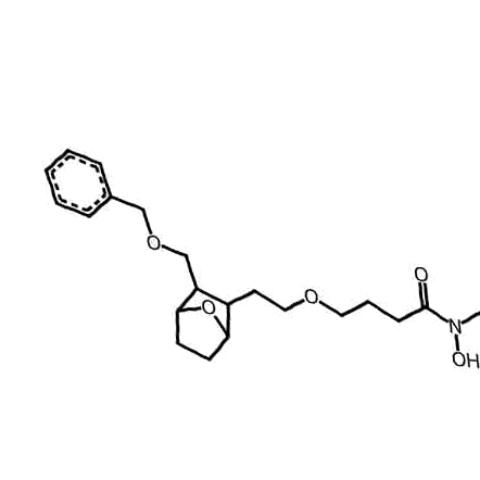 CN(O)C(=O)CCCOCCC1C2CCC(O2)C1COCc1ccccc1